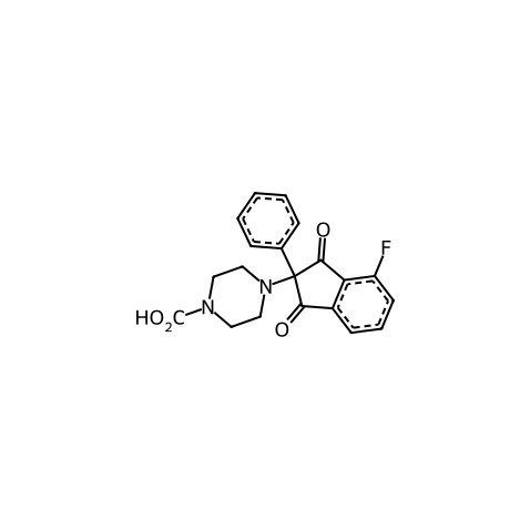 O=C(O)N1CCN(C2(c3ccccc3)C(=O)c3cccc(F)c3C2=O)CC1